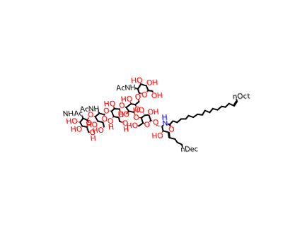 CCCCCCCC/C=C\CCCCCCCCCCCCCCCC(=O)N[C@@H](CO[C@@H]1OC(CO)[C@@H](O[C@@H]2OC(CO[C@@H]3OC(CO)[C@@H](O)[C@H](O)C3NC(C)=O)[C@H](O)[C@H](O[C@H]3OC(CO)[C@H](O)[C@H](O[C@@H]4OC(CO)[C@H](O)[C@H](O[C@H]5OC(CO)[C@H](O)[C@H](O)C5NC(C)=O)C4NC(C)=O)C3O)C2O)[C@H](O)C1O)[C@H](O)/C=C/CCCCCCCCCCCCC